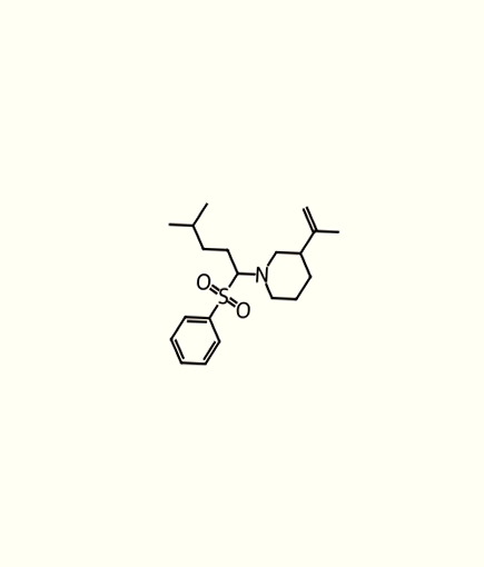 C=C(C)C1CCCN(C(CCC(C)C)S(=O)(=O)c2ccccc2)C1